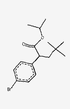 CC(C)OC(=O)C(CC(C)(C)C)c1ccc(Br)cc1